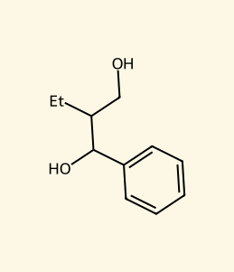 CCC(CO)C(O)c1ccccc1